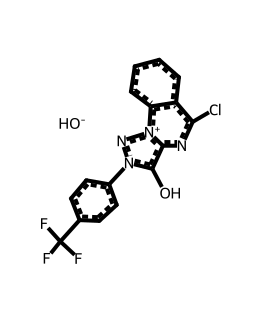 Oc1c2nc(Cl)c3ccccc3[n+]2nn1-c1ccc(C(F)(F)F)cc1.[OH-]